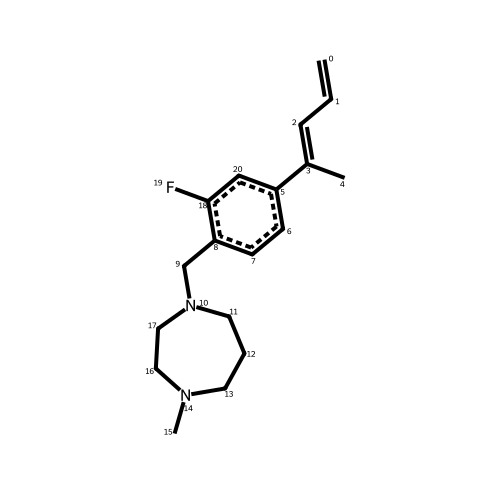 C=C/C=C(\C)c1ccc(CN2CCCN(C)CC2)c(F)c1